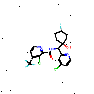 O=C(NC(c1cc(Cl)ccn1)[C@]1(O)CC[C@@H](F)CC1)c1nccc(C(F)(F)F)c1Cl